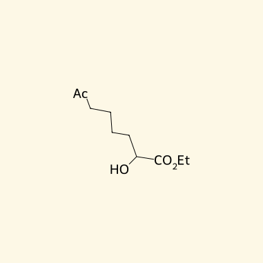 CCOC(=O)C(O)CCCCC(C)=O